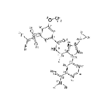 C[C@H](NC(=O)c1cc(OC(F)(F)F)cc(S(=O)(=O)C(F)F)c1)c1nc(C2CC2)nn1-c1cc(C(=O)N(C)C)ncn1